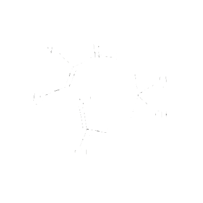 CC1=C(/C#N)N/C=C\C(C)(C)\C=C/C(C)=N/1